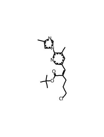 Cc1cn(-c2ncc(C=C(CCCCl)C(=O)OC(C)(C)C)cc2C)cn1